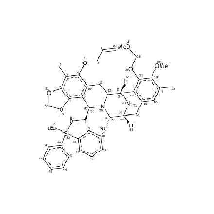 C=CCOc1c(C)c2c(c3c1CC1[C@@H]4c5c(cc(C)c(OC)c5OCOC)C[C@H]([C@H](C#N)N1[C@H]3CO[Si](c1ccccc1)(c1ccccc1)C(C)(C)C)N4C)OCO2